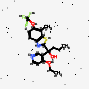 CCCC(O)(c1nc2ccc(OC(F)(F)F)c(C)c2s1)c1cnccc1OCC